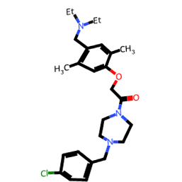 CCN(CC)Cc1cc(C)c(OCC(=O)N2CCN(Cc3ccc(Cl)cc3)CC2)cc1C